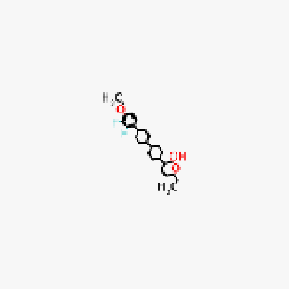 C=CC1CCC(C2CCC(C3CCC(c4ccc(OCC)c(F)c4F)CC3)CC2)C(O)O1